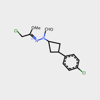 CO/C(CCl)=N\N(C=O)C1CC(c2ccc(Cl)cc2)C1